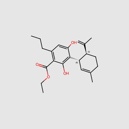 C=C(C)[C@H]1CCC(C)=C[C@@H]1c1c(O)cc(CCC)c(C(=O)OCC)c1O